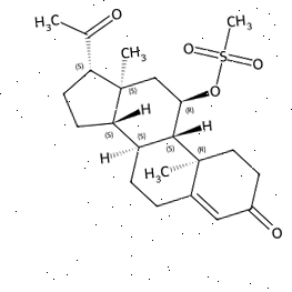 CC(=O)[C@H]1CC[C@H]2[C@@H]3CCC4=CC(=O)CC[C@]4(C)[C@H]3[C@H](OS(C)(=O)=O)C[C@]12C